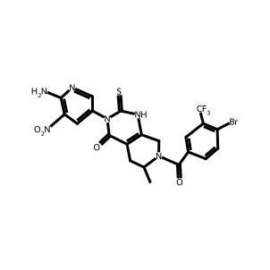 CC1Cc2c([nH]c(=S)n(-c3cnc(N)c([N+](=O)[O-])c3)c2=O)CN1C(=O)c1ccc(Br)c(C(F)(F)F)c1